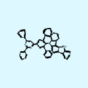 c1cccc(-c2cc(-c3cc(-c4ccccc4)nc(-c4ccccc4)n3)cc(-c3ccccc3)c2-n2c3c(c4c5[nH]c6ccccc6c5ccc42)C=CCC3)c#1